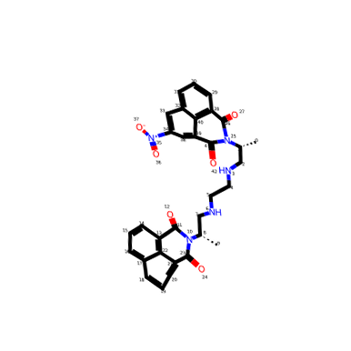 C[C@H](CNCCNC[C@H](C)N1C(=O)c2cccc3cccc(c23)C1=O)N1C(=O)c2cccc3cc([N+](=O)[O-])cc(c23)C1=O